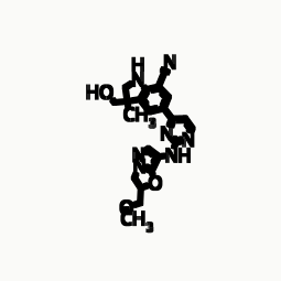 COCC1Cn2ncc(Nc3nccc(-c4cc(C#N)c5c(c4)C(C)(CO)CN5)n3)c2O1